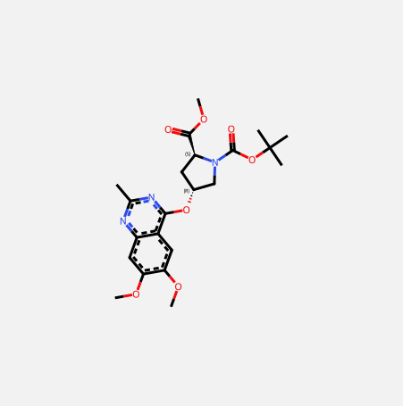 COC(=O)[C@@H]1C[C@@H](Oc2nc(C)nc3cc(OC)c(OC)cc23)CN1C(=O)OC(C)(C)C